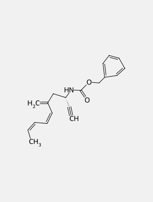 C#C[C@H](CC(=C)/C=C\C=C/C)NC(=O)OCc1ccccc1